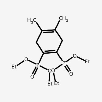 CCOP(=O)(OCC)C1=C(P(=O)(OCC)OCC)CC(C)=C(C)C1